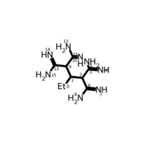 CCC(C(C(=N)N)C(=N)N)C(C(=N)N)C(=N)N